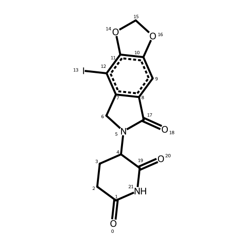 O=C1CCC(N2Cc3c(cc4c(c3I)OCO4)C2=O)C(=O)N1